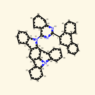 c1ccc2c(c1)cc(-c1nc(-n3c4ccccc4c4cc5c6ccccc6n6c7ccccc7c(c43)c56)c3ccccc3n1)c1ccccc12